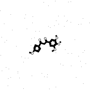 COc1ccc(C(=O)CC(=O)c2cc(OC)c(OC)c(OC)c2)cc1